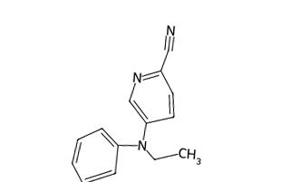 CCN(c1ccccc1)c1ccc(C#N)nc1